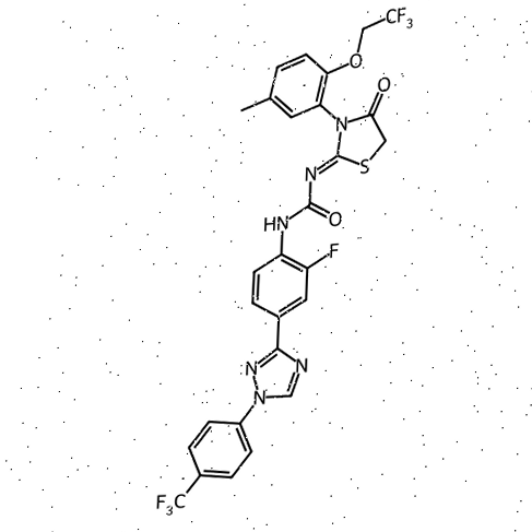 Cc1ccc(OCC(F)(F)F)c(N2C(=O)CSC2=NC(=O)Nc2ccc(-c3ncn(-c4ccc(C(F)(F)F)cc4)n3)cc2F)c1